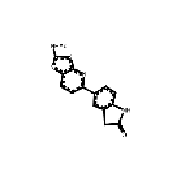 CC(=O)Nc1nc2ccc(-c3ccc4c(c3)CC(=O)N4)nc2s1